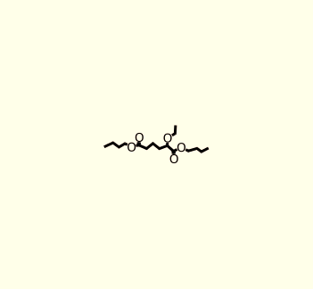 CCCCOC(=O)CCCC(OCC)C(=O)OCCCC